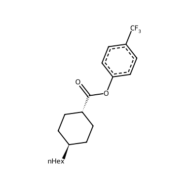 CCCCCC[C@H]1CC[C@H](C(=O)Oc2ccc(C(F)(F)F)cc2)CC1